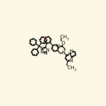 CCOC(=O)CN(Cc1ccc(-c2ccccc2-c2nnnn2C(c2ccccc2)(c2ccccc2)c2ccccc2)cc1)c1cc(CC)nc2ccnn12